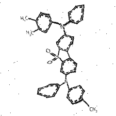 Cc1ccc(N(c2ccccc2)c2ccc3c(c2)S(=O)(=O)c2cc(N(c4ccccc4)c4ccc(C)c(C)c4)ccc2-3)cc1